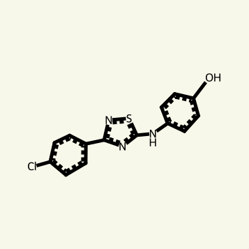 Oc1ccc(Nc2nc(-c3ccc(Cl)cc3)ns2)cc1